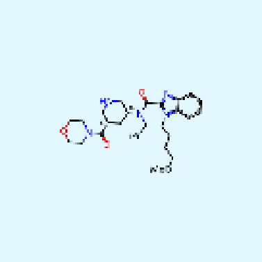 COCCCCn1c(C(=O)N(CC(C)C)[C@H]2CNC[C@H](C(=O)N3CCOCC3)C2)nc2ccccc21